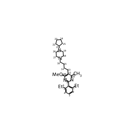 CCc1cccc(CC)c1-c1nc(C)c(CCCCN2CCN(C3CCCC3)CC2)c(OC)n1